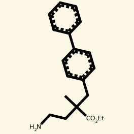 CCOC(=O)C(C)(CCN)Cc1ccc(-c2ccccc2)cc1